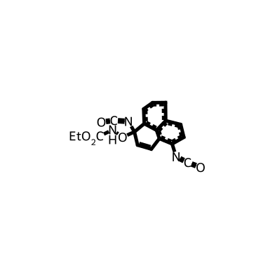 CCOC(=O)NOC1(N=C=O)C=Cc2c(N=C=O)ccc3cccc1c23